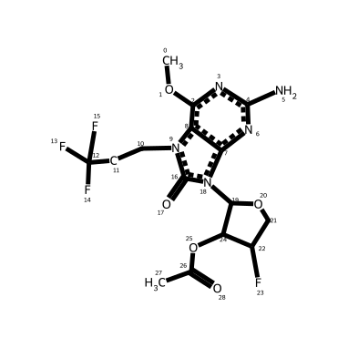 COc1nc(N)nc2c1n(CCC(F)(F)F)c(=O)n2C1OCC(F)C1OC(C)=O